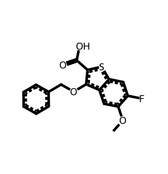 COc1cc2c(OCc3ccccc3)c(C(=O)O)sc2cc1F